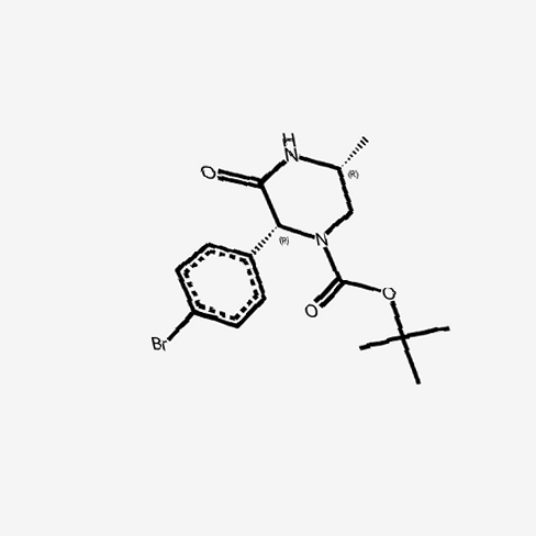 C[C@@H]1CN(C(=O)OC(C)(C)C)[C@H](c2ccc(Br)cc2)C(=O)N1